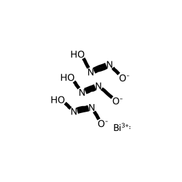 [Bi+3].[O-]N=NO.[O-]N=NO.[O-]N=NO